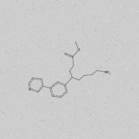 COC(=O)CCC(CCCCN)c1cccc(-c2cccnc2)c1